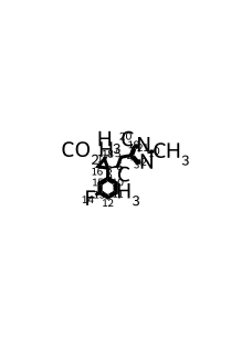 Cc1ncc(CC(C)[C@@]2(c3cccc(F)c3)C[C@H]2C(=O)O)c(C)n1